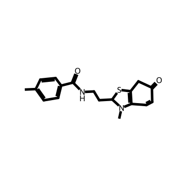 Cc1ccc(C(=O)NCCC2SC3=C(C=CC(=O)C3)N2C)cc1